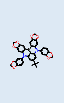 CC(C)(C)c1cc2c3c(c1)N(c1ccc4c(c1)OCO4)c1cc4c(cc1B3c1cc3c(cc1N2c1ccc2c(c1)OCO2)OCO3)OCO4